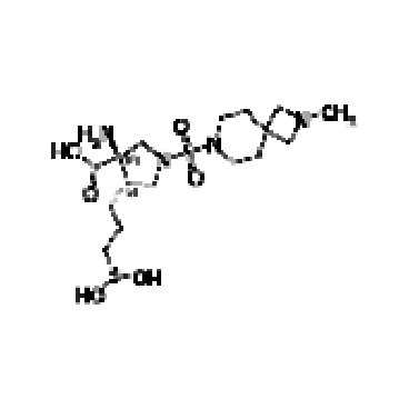 CN1CC2(CCN(S(=O)(=O)N3C[C@H](CCCB(O)O)[C@](N)(C(=O)O)C3)CC2)C1